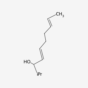 CC=CCCC=CC(O)C(C)C